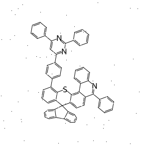 c1ccc(-c2cc(-c3ccc(-c4cccc5c4Sc4c(ccc6c(-c7ccccc7)nc7ccccc7c46)C54c5ccccc5-c5ccccc54)cc3)nc(-c3ccccc3)n2)cc1